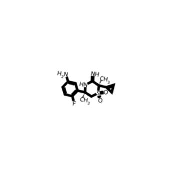 C[C@@]1(C2=CC2)C(=N)N[C@](C)(c2cc(N)ccc2F)CS1(=O)=O